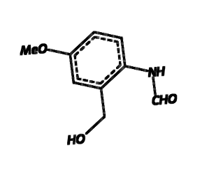 COc1ccc(NC=O)c(CO)c1